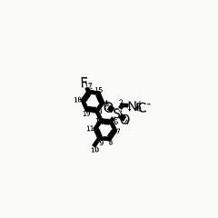 [C-]#[N+]CS(=O)(=O)c1ccc(C)cc1-c1ccc(F)cc1